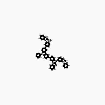 c1ccc(-n2c3ccc(-c4ccc5[nH]c6nc7ccccc7n6c5c4)cc3c3cc(-c4ccc5c(c4)n4c6ccccc6nc4n5-c4ccc5nc6oc7ccccc7n6c5c4)ccc32)cc1